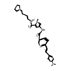 CN(C)c1ccc(/C=C/c2ccc(C(=O)Nc3cc(C(=O)NCCCCN4CCCC4)n(C)c3)cn2)cc1